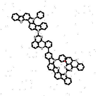 c1ccc(-n2c3cc(-c4cccc5c4Sc4cccc6nc(-n7c8ccccc8c8c7ccc7c9c%10oc%11ccccc%11c%10ccc9n(-c9ccccc9)c78)nc-5c46)ccc3c3ccc4c5ccc6c7ccccc7n(-c7nc8c9c(cccc9n7)Sc7ccccc7-8)c6c5oc4c32)cc1